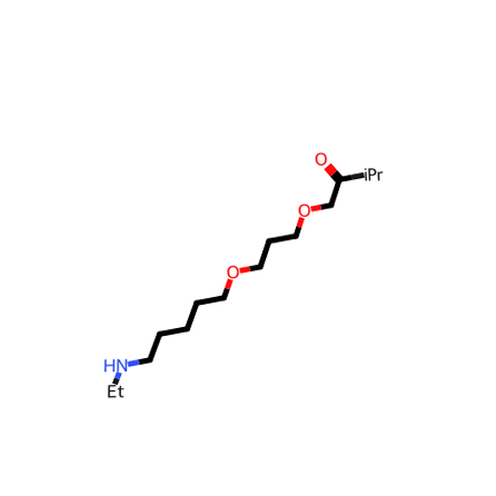 CCNCCCCCOCCCOCC(=O)C(C)C